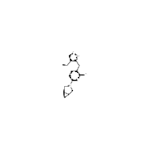 CCc1conc1Cc1ccc(N2CC3CC3C2)nc1Cl